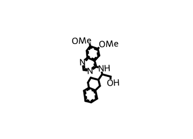 COc1cc2ncnc(NC(CO)C3CCc4ccccc4C3)c2cc1OC